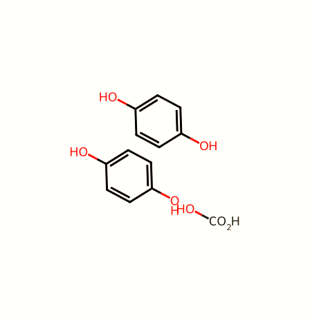 O=C(O)O.Oc1ccc(O)cc1.Oc1ccc(O)cc1